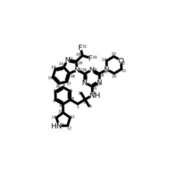 CC(C)(Cc1ccccc1C1CCNC1)Nc1nc(N2CCOCC2)nc(-n2c(C(F)F)nc3ccccc32)n1